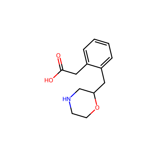 O=C(O)Cc1ccccc1CC1CNCCO1